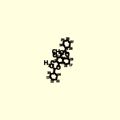 COc1c(C)c(OC(=O)c2ccccc2)c2ccccc2c1OC(=O)c1ccccc1